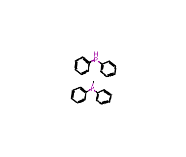 CP(c1ccccc1)c1ccccc1.c1ccc(Pc2ccccc2)cc1